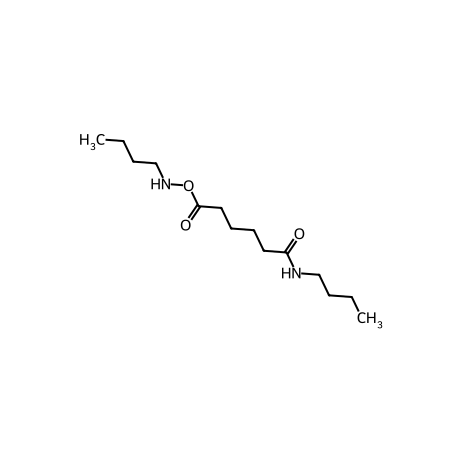 CCCCNOC(=O)CCCCC(=O)NCCCC